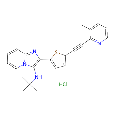 Cc1cccnc1C#Cc1ccc(-c2nc3ccccn3c2NC(C)(C)C)s1.Cl